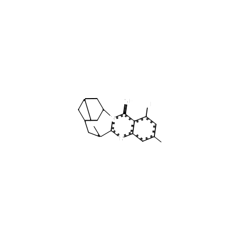 N=c1c2c(Cl)cc(Cl)cc2nc2n1C1CC3CC(CC2C3)C1